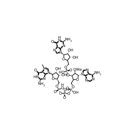 CO[C@@H]1[C@H](OP(=O)(O)OCC2O[C@@H](n3cnc4c(=O)[nH]c(N)nc43)[C@H](O)[C@@H]2O)C(COP(=O)(O)OP(=O)(O)OP(=O)(O)OC[C@H]2OC(n3c[n+](C)c4c(=O)[nH]c(N)nc43)[C@H](O)[C@@H]2O)O[C@H]1n1cnc2c(N)ncnc21